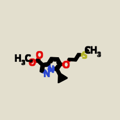 COC(=O)c1cnn2c(C3CC3)c(OCCCSC)ccc12